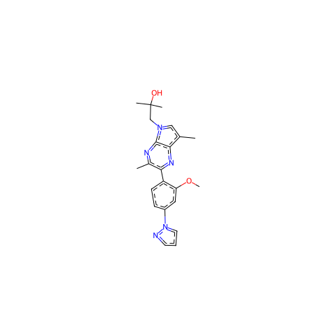 COc1cc(-n2cccn2)ccc1-c1nc2c(C)cn(CC(C)(C)O)c2nc1C